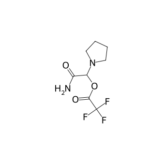 NC(=O)C(OC(=O)C(F)(F)F)N1CCCC1